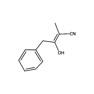 CC(C#N)=C(O)Cc1ccccc1